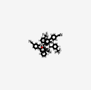 N#Cc1ccc2c3ccc(C#N)cc3n(-c3ccc(C(F)(F)F)cc3-c3nc(-c4ccccc4)nc(-c4cc(C(F)(F)F)ccc4-n4c5cc(C#N)ccc5c5ccc(C#N)cc54)n3)c2c1